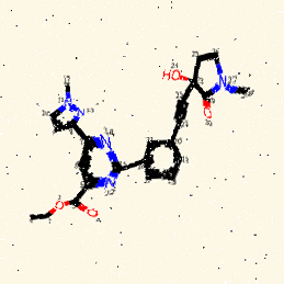 CCOC(=O)c1cc(-c2ccn(C)n2)nc(-c2cccc(C#C[C@]3(O)CCN(C)C3=O)c2)n1